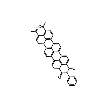 CC(=O)c1ccc2c3ccc4c5ccc6c7c(ccc(c8ccc(c9ccc(C(C)=O)c1c29)c3c48)c75)C(=O)N(c1ccccc1)C6=O